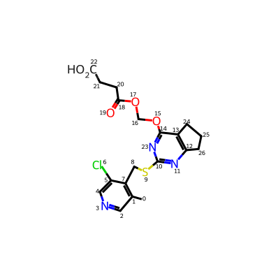 Cc1cncc(Cl)c1CSc1nc2c(c(OCOC(=O)CCC(=O)O)n1)CCC2